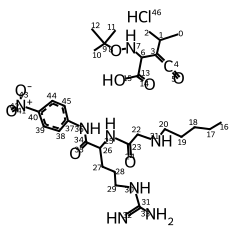 CC(C)C(=C=O)C(NOC(C)(C)C)C(=O)O.CCCCCNCC(=O)NC(CCCNC(=N)N)C(=O)Nc1ccc([N+](=O)[O-])cc1.Cl